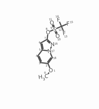 COc1ccc2cc(OS(=O)(=O)C(F)(F)F)nn2c1